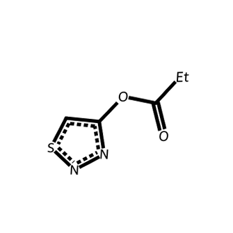 CCC(=O)Oc1csnn1